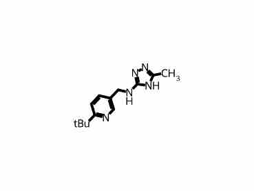 Cc1nnc(NCc2ccc(C(C)(C)C)nc2)[nH]1